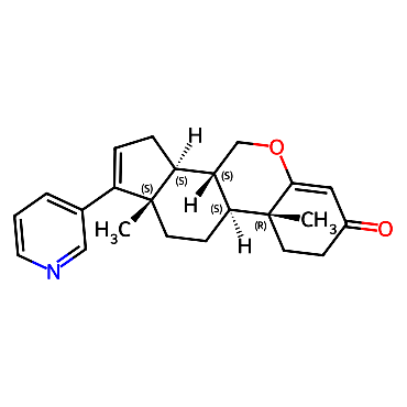 C[C@]12CCC(=O)C=C1OC[C@@H]1[C@@H]2CC[C@]2(C)C(c3cccnc3)=CC[C@@H]12